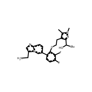 Cc1c(CCOc2c(-c3ccc4ncc(CN)n4c3)ccc(F)c2F)c(C(O)C(C)(C)C)nn1C